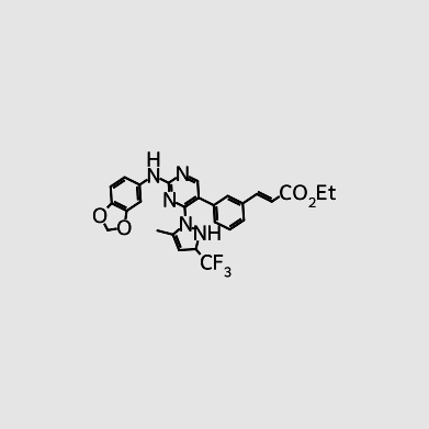 CCOC(=O)/C=C/c1cccc(-c2cnc(Nc3ccc4c(c3)OCO4)nc2N2NC(C(F)(F)F)C=C2C)c1